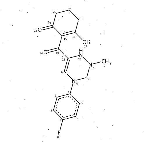 CN1CN(c2ccc(F)cc2)C=C(C(=O)C2=C(O)CCCC2=O)N1